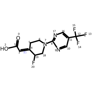 O=C(O)/C=C1\CCN(c2ncc(C(F)(F)F)cn2)CC1F